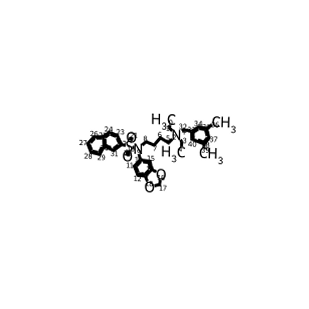 CC[N+](CC)(CCCCN(c1ccc2c(c1)OCO2)S(=O)(=O)c1ccc2ccccc2c1)Cc1cc(C)cc(C)c1